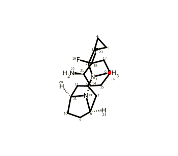 CN(CC1CC1)C1C[C@H]2CC[C@@H](C1)N2[C@H]1CCCC(F)(F)[C@@H]1N